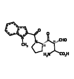 Cn1c(C(=O)N2CCC[C@H]2C(=O)[C@H](C=O)C(N)C(=O)O)cc2ccccc21